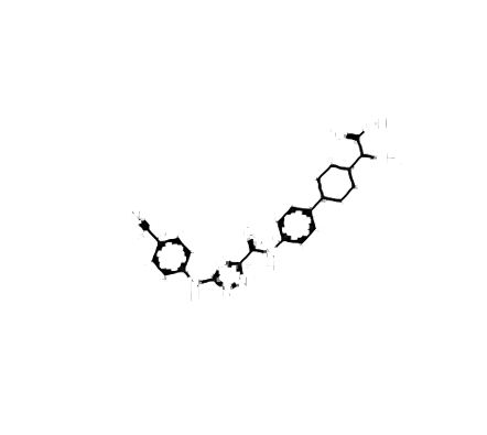 CC(C(=O)O)C1CCC(c2ccc(NC(=O)c3nnc(Nc4ccc(C#N)cc4)o3)cc2)CC1